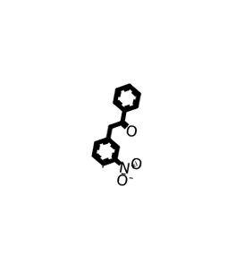 O=C(Cc1cc[c]c([N+](=O)[O-])c1)c1ccccc1